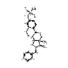 CC12CCC3c4ccc(OS(N)(=O)=O)cc4CCC3C1C/C(=C\c1ccncc1)C2=O